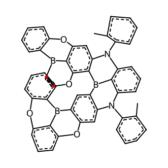 Cc1ccccc1N1c2cc3c(cc2B2c4c1cccc4N(c1ccccc1C)c1cc4c5c(c12)Oc1ccccc1B5c1ccccc1O4)B1c2ccccc2Oc2cccc(c21)O3